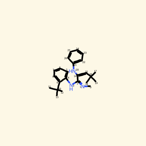 C/N=C(Nc1ccccc1C(C)(C)C)\C(=C/C(C)(C)C)Nc1ccccc1